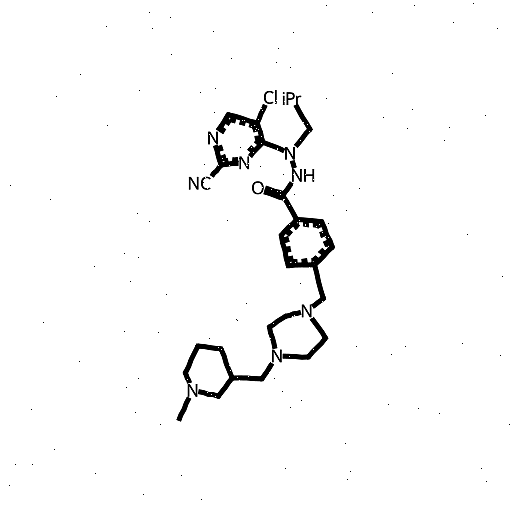 CC(C)CN(NC(=O)c1ccc(CN2CCN(CC3CCCN(C)C3)CC2)cc1)c1nc(C#N)ncc1Cl